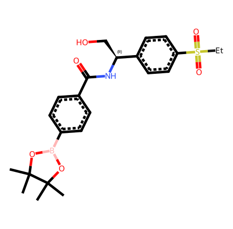 CCS(=O)(=O)c1ccc([C@H](CO)NC(=O)c2ccc(B3OC(C)(C)C(C)(C)O3)cc2)cc1